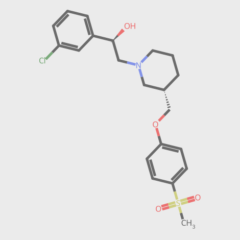 CS(=O)(=O)c1ccc(OC[C@H]2CCCN(C[C@H](O)c3cccc(Cl)c3)C2)cc1